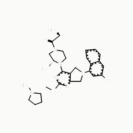 C=CC(=O)N1CCN(c2nc(OC[C@@H]3CCCN3C)nc3c2CN(c2cc(O)cc4ccccc24)C3)[C@@H](C)C1